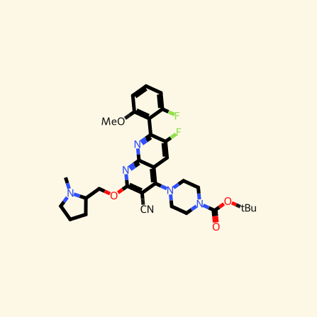 COc1cccc(F)c1-c1nc2nc(OCC3CCCN3C)c(C#N)c(N3CCN(C(=O)OC(C)(C)C)CC3)c2cc1F